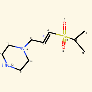 CC(C)S(=O)(=O)/C=C/CN1CCNCC1